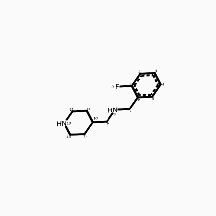 Fc1ccccc1CNCC1CCNCC1